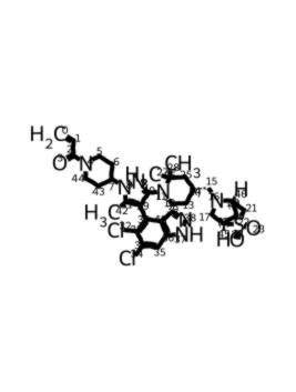 C=CC(=O)N1CCC(n2nc(N3CC[C@@H](CN4C[C@@H]5C[C@H]4CS5(=O)=O)CC3(C)C)c(-c3c(Cl)c(Cl)cc4[nH]ncc34)c2C)CC1